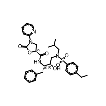 CCc1ccc(S(=O)(=O)N(CC(C)C)C[C@@H](O)[C@H](Cc2ccccc2)NC(=O)[C@@H]2CN(c3ccccn3)C(=O)O2)cc1